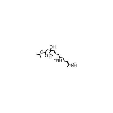 CNC(C)=CCCC(CC=CC(O)(CC(=O)OC(C)C)NC)NC